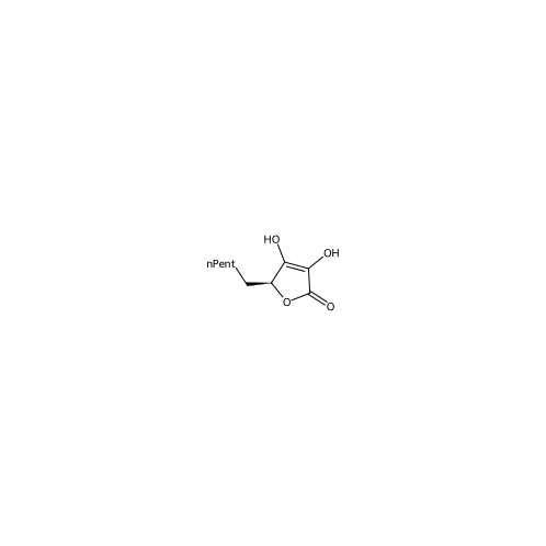 CCCCCC[C@@H]1OC(=O)C(O)=C1O